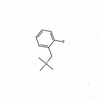 C[Si](C)(C)Cc1ccccc1F